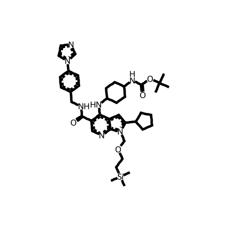 CC(C)(C)OC(=O)NC1CCC(Nc2c(C(=O)NCc3ccc(-n4ccnc4)cc3)cnc3c2cc(C2CCCC2)n3COCC[Si](C)(C)C)CC1